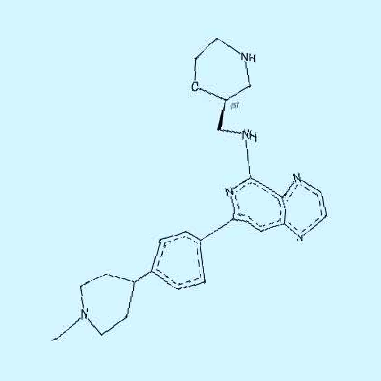 CN1CCC(c2ccc(-c3cc4nccnc4c(NC[C@@H]4CNCCO4)n3)cc2)CC1